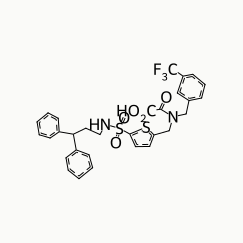 O=C(O)C(=O)N(Cc1cccc(C(F)(F)F)c1)Cc1ccc(S(=O)(=O)NCCC(c2ccccc2)c2ccccc2)s1